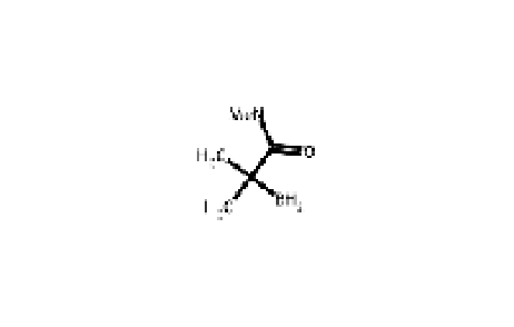 BC(C)(C)C(=O)NC